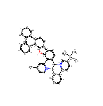 Cc1cc[n+]2c(c1)-c1c(ccc3c1oc1c3ccc3c4ccccc4c4ccccc4c31)C1C2c2ccccc2-c2ccc([Si](C)(C)C)c[n+]21